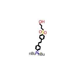 CCCCN(CCCC)c1ccc(C=Cc2ccc(S(=O)(=O)CCCCO)cc2)cc1